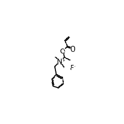 C=CC(=O)OC(C)[N+](C)(C)Cc1ccccc1.[F-]